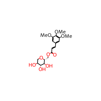 COc1cc(/C=C/C(=O)OC[C@H]2OC[C@H](O)[C@@H](O)[C@@H]2O)cc(OC)c1OC